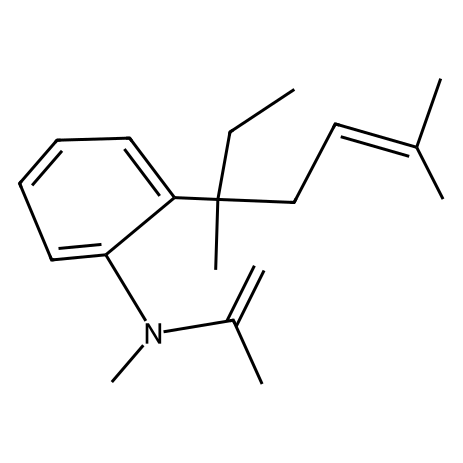 C=C(C)N(C)c1ccccc1C(C)(CC)CC=C(C)C